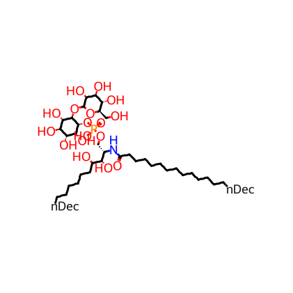 CCCCCCCCCCCCCCCCCCCCCCCC(=O)N[C@@H](COP(=O)(O)O[C@@H]1[C@H](O)[C@H](O)[C@@H](O)[C@H](O)[C@H]1OC1O[C@H](CO)[C@@H](O)[C@H](O)[C@@H]1O)[C@H](O)C(O)CCCCCCCCCCCCCCCC